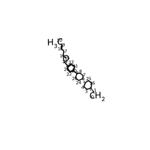 C=C[C@H]1CC[C@H](C2CCC(c3ccc(COCC/C=C/C)cc3)CC2)CC1